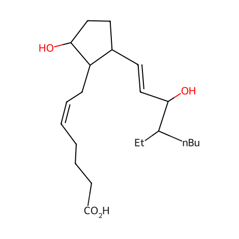 CCCCC(CC)C(O)/C=C/C1CCC(O)C1C/C=C\CCCC(=O)O